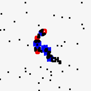 Cn1cc(-c2cnc3nnn(C[C@@H]4CN(c5ncc(OCCN6CCOCC6)cn5)CCO4)c3n2)cn1